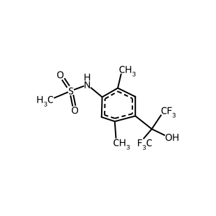 Cc1cc(C(O)(C(F)(F)F)C(F)(F)F)c(C)cc1NS(C)(=O)=O